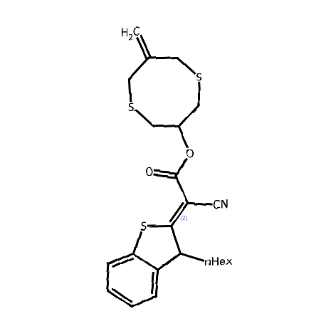 C=C1CSCC(OC(=O)/C(C#N)=C2\Sc3ccccc3C2CCCCCC)CSC1